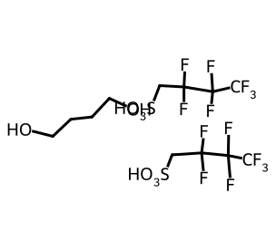 O=S(=O)(O)CC(F)(F)C(F)(F)C(F)(F)F.O=S(=O)(O)CC(F)(F)C(F)(F)C(F)(F)F.OCCCCO